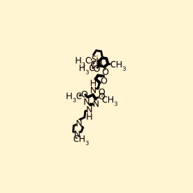 COc1nc(NCCCN2CCN(C)CC2)nc(OC)c1NC(=O)c1ccc(Oc2c(C)cc3c(c2OC)[Si](C)(C)CCC3)o1